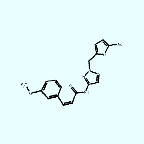 CC(=O)c1ccc(Cn2ncc(NC(=O)/C=C\c3cccc(OC(F)(F)F)c3)n2)o1